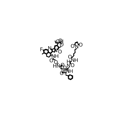 CC[C@@]1(O)C(=O)OCc2c1cc1n(c2=O)Cc2c-1nc1cc(F)c(C)c3c1c2[C@H](NC(=O)COCNC(=O)CNC(=O)[C@H](Cc1ccccc1)NC(=O)CNC(=O)CNC(=O)CCCCCN1C(=O)C=CC1=O)CC3